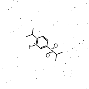 CC(C)c1ccc(S(=O)(=O)C(C)C)cc1F